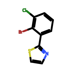 Clc1cccc(-c2nccs2)c1Br